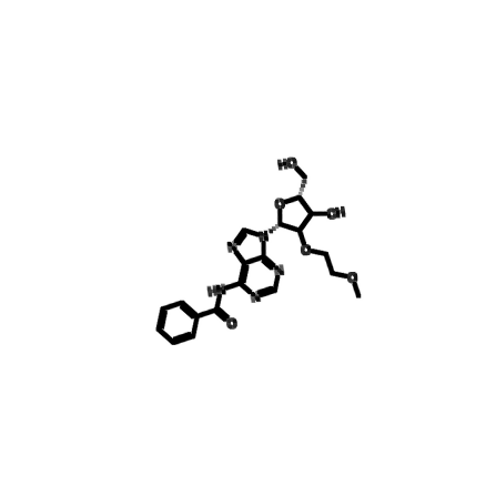 COCCOC1C(O)[C@@H](CO)O[C@H]1n1cnc2c(NC(=O)c3ccccc3)ncnc21